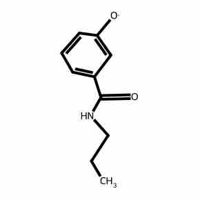 CCCNC(=O)c1cccc([O])c1